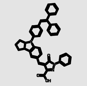 O=C(O)C1=NN(c2ccccc2)C(=O)/C1=C\c1ccc2c(c1)C1CCCC1N2c1ccc(C=C(c2ccccc2)c2ccccc2)cc1